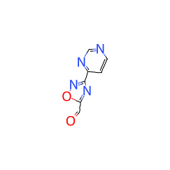 O=Cc1nc(-c2ccncn2)no1